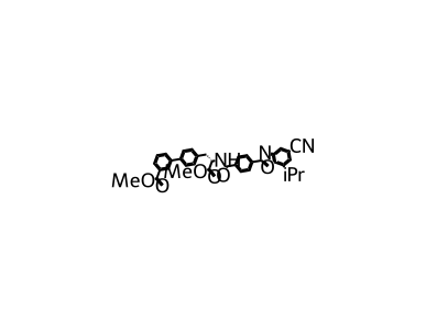 COC(=O)c1cccc(-c2ccc(C[C@H](NC(=O)c3ccc(-c4nc5cc(C#N)cc(C(C)C)c5o4)cc3)C(=O)OC)cc2)c1